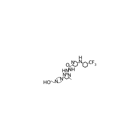 Cc1cc(N2CCN(CCO)CC2)nc(NNC(=O)c2ccc(Nc3cccc(C(F)(F)F)c3)cn2)n1